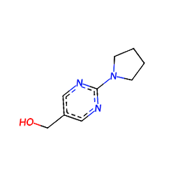 OCc1cnc(N2CCCC2)nc1